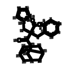 O=C(O)C(Cc1ccncc1)(Cn1cccn1)C(=O)C12CC3CC(CC(C3)C1)C2